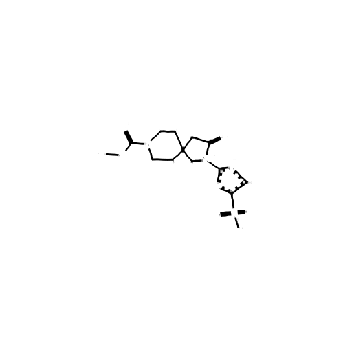 CC(C)(C)OC(=O)N1CCC2(CC1)CC(=O)N(c1ncc(S(C)(=O)=O)s1)C2